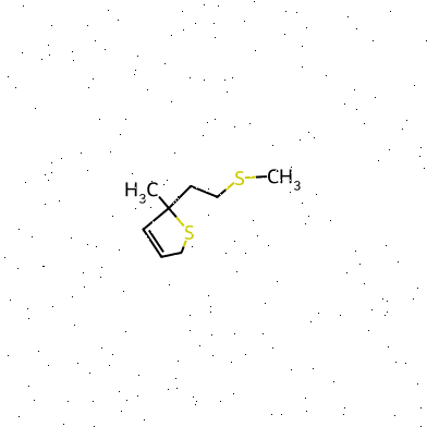 CSCCC1(C)C=CCS1